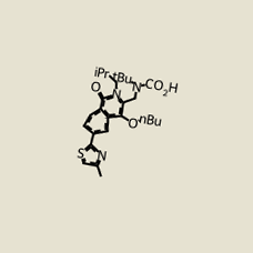 CCCCOc1c(CN(C(=O)O)C(C)(C)C)n(CC(C)C)c(=O)c2ccc(-c3nc(C)cs3)cc12